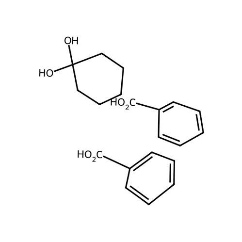 O=C(O)c1ccccc1.O=C(O)c1ccccc1.OC1(O)CCCCC1